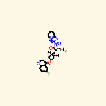 CC(C(=O)Nc1nc2ccccn2n1)[C@H]1[C@@H]2C[C@H](Oc3ccnc4ccc(F)cc34)C[C@@H]21